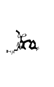 CCOC(=O)c1nn(CCN)c(C)c1Cc1ccc(F)cc1